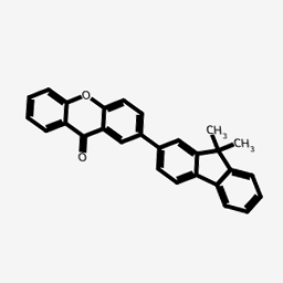 CC1(C)c2ccccc2-c2ccc(-c3ccc4oc5ccccc5c(=O)c4c3)cc21